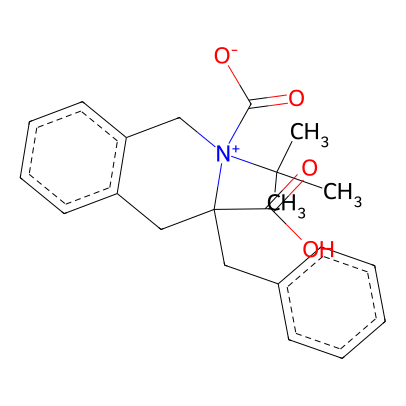 CC(C)(C)[N+]1(C(=O)[O-])Cc2ccccc2CC1(Cc1ccccc1)C(=O)O